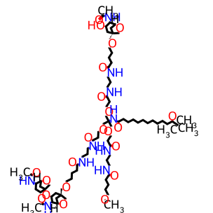 COCCCCC(=O)NCCCNC(=O)CCOCC(COCCC(=O)NCCCNC(=O)CCCCOC[C@@]12CO[C@H](C1)[C@H](NC(C)=O)[C@@H](O[C@]13CC[C@@H](NC(C)=O)[C@@H](C1)OC3)C2)(COCCC(=O)NCCCNC(=O)CCCCOC[C@@]12CO[C@H](C1)[C@H](NC(C)=O)[C@@H](O)C2)NC(=O)CCCCCCCCCCC(=O)C(C)(C)C